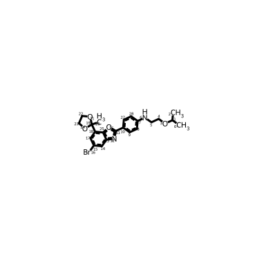 CC(C)OCCNc1ccc(-c2nc3cc(Br)cc(C4(C)OCCO4)c3o2)cc1